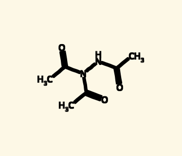 CC(=O)NN(C(C)=O)C(C)=O